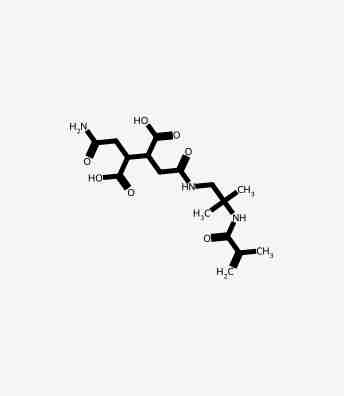 C=C(C)C(=O)NC(C)(C)CNC(=O)CC(C(=O)O)C(CC(N)=O)C(=O)O